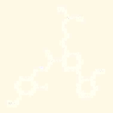 COc1ccc(/C=C/C(=O)c2cc(-c3ccccc3OC)ccc2OCCN(C)C)c(F)c1